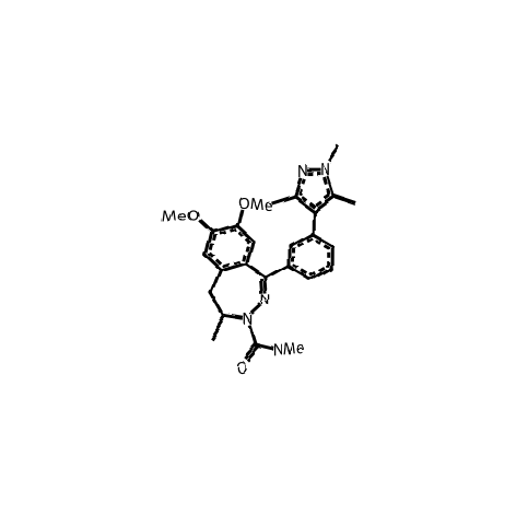 CNC(=O)N1N=C(c2cccc(-c3c(C)nn(C)c3C)c2)c2cc(OC)c(OC)cc2CC1C